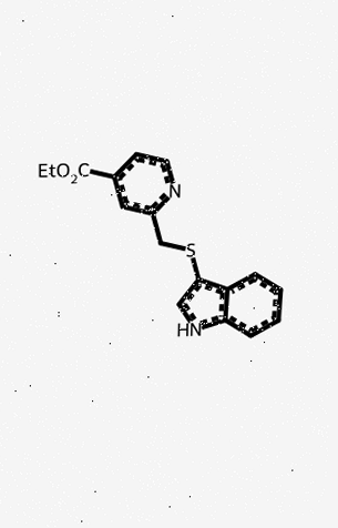 CCOC(=O)c1ccnc(CSc2c[nH]c3ccccc23)c1